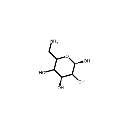 NCC1O[C@@H](O)C(O)[C@@H](O)C1O